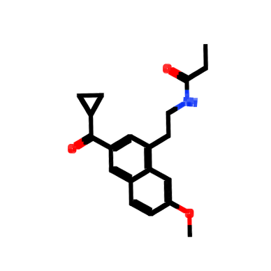 CCC(=O)NCCc1cc(C(=O)C2CC2)cc2ccc(OC)cc12